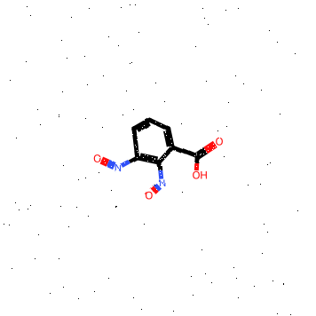 O=Nc1cccc(C(=O)O)c1N=O